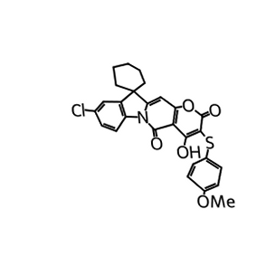 COc1ccc(Sc2c(O)c3c(=O)n4c(cc3oc2=O)C2(CCCCC2)c2cc(Cl)ccc2-4)cc1